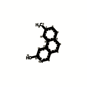 Cc1ccc2ccc3cnc(O)cc3c2c1